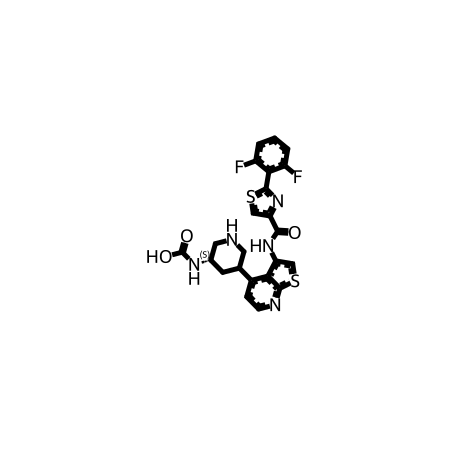 O=C(O)N[C@@H]1CNCC(c2ccnc3scc(NC(=O)c4csc(-c5c(F)cccc5F)n4)c23)C1